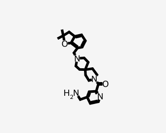 CC1(C)Cc2cccc(CN3CCC4(CC3)CCN(C(=O)c3cc(CN)ccn3)CC4)c2O1